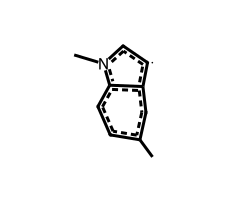 Cc1ccc2c([c]cn2C)c1